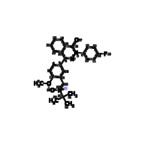 COc1ccc(-c2nn(-c3ccc(F)cc3)c(=O)c3ccccc23)cc1/C=[N+](\[O-])C(C)(C)C